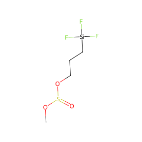 COS(=O)OCCC[Si](F)(F)F